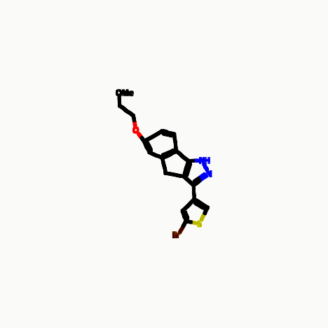 COCCOc1ccc2c(c1)Cc1c(-c3csc(Br)c3)n[nH]c1-2